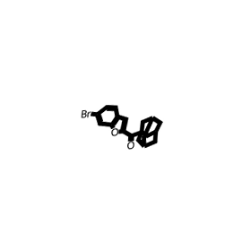 O=C(c1cc2ccc(Br)cc2o1)C12CC3CC(CC(C3)C1)C2